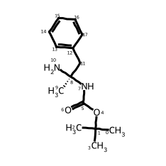 CC(C)(C)OC(=O)N[C@@](C)(N)Cc1ccccc1